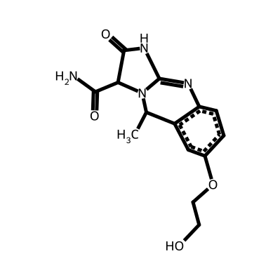 CC1c2cc(OCCO)ccc2N=C2NC(=O)C(C(N)=O)N21